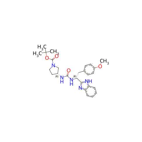 COc1ccc(C[C@@H](NC(=O)N[C@@H]2CCN(C(=O)OC(C)(C)C)C2)c2nc3ccccc3[nH]2)cc1